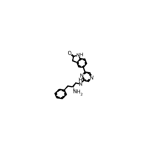 N[C@@H](CNc1cncc(-c2ccc3c(c2)CC(=O)N3)n1)Cc1ccccc1